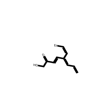 C=C/C=C(\C=C/CC)/C=C/C(=O)CO